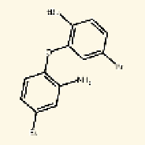 CCc1ccc(Oc2cc(Br)ccc2C(C)(C)C)c(N)c1